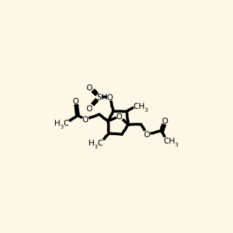 CC(=O)OCC12CC(C)C(COC(C)=O)(O1)C(O[SH](=O)=O)C2C